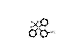 Cc1cccc([PH](c2ccccc2)(c2ccccc2)C(Br)(Br)Br)c1